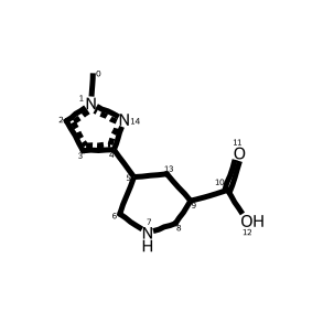 Cn1ccc(C2CNCC(C(=O)O)C2)n1